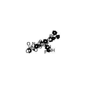 CC(C)c1ccccc1[C@@H]1CCCN1C1CC2(CCN(c3ccc(C(=O)NS(=O)(=O)c4cc5c(c([N+](=O)[O-])c4)N[C@@H](C4CCOCC4)CO5)c(Oc4cc5c(F)c[nH]c5nc4F)c3)CC2)C1